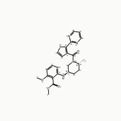 COC(=O)c1c(OC)ccnc1N[C@@H]1CC[C@@H](C)N(C(=O)c2ccsc2-c2ncccn2)C1